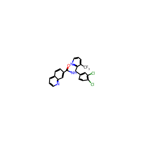 O=C(NC(c1ccc(Cl)c(Cl)c1)c1ncccc1C(F)(F)F)c1ccc2cccnc2c1